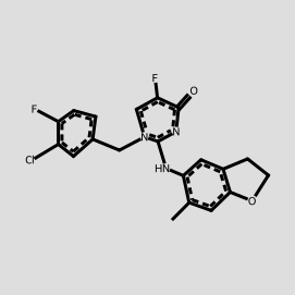 Cc1cc2c(cc1Nc1nc(=O)c(F)cn1Cc1ccc(F)c(Cl)c1)CCO2